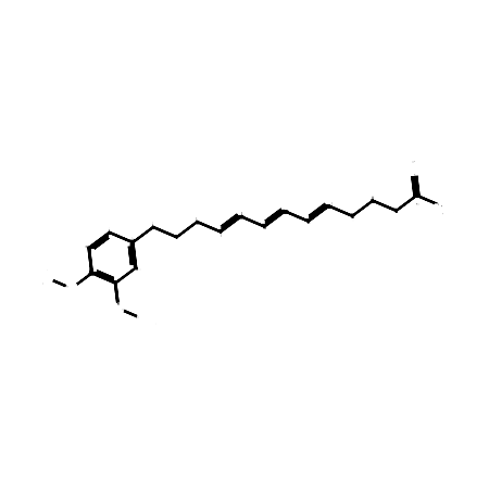 COc1ccc(CCCC=CC=CC=CCCCC(N)=O)cc1OC